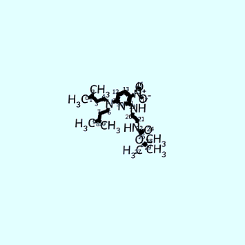 CC(C)CCN(CCC(C)C)c1ccc([N+](=O)[O-])c(NCCNC(=O)OC(C)(C)C)n1